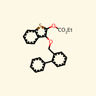 CCOC(=O)Oc1sc2ccccc2c1OCc1ccccc1-c1ccccc1